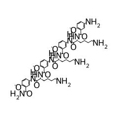 COc1ccc(NC(=O)[C@H](CCCCN)NC(=O)c2cc(NC(=O)[C@H](CCCCN)NC(=O)c3cc(NC(=O)[C@H](CCCCN)NC(=O)c4cc(N)ccc4OC)ccc3OC)ccc2OC)cc1C(N)=O